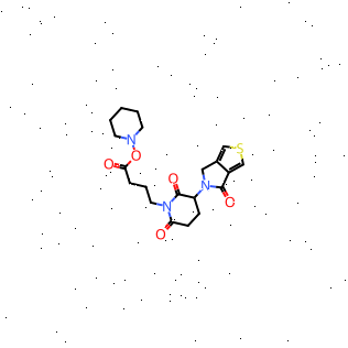 O=C(CCCN1C(=O)CCC(N2Cc3cscc3C2=O)C1=O)ON1CCCCC1